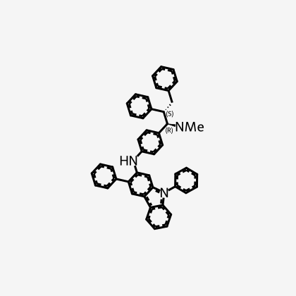 CN[C@@H](c1ccc(Nc2cc3c(cc2-c2ccccc2)c2ccccc2n3-c2ccccc2)cc1)[C@@H](Cc1ccccc1)c1ccccc1